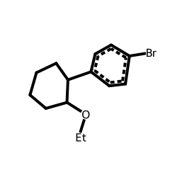 CCOC1CCCCC1c1ccc(Br)cc1